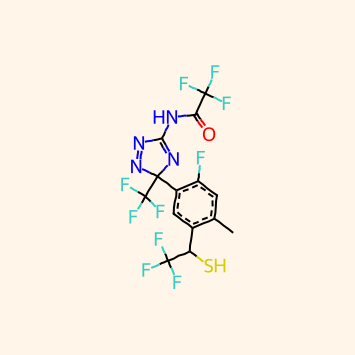 Cc1cc(F)c(C2(C(F)(F)F)N=NC(NC(=O)C(F)(F)F)=N2)cc1C(S)C(F)(F)F